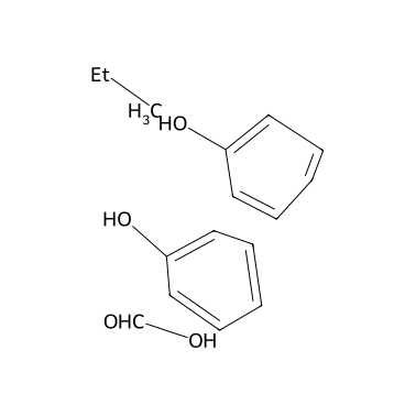 CCC.O=CO.Oc1ccccc1.Oc1ccccc1